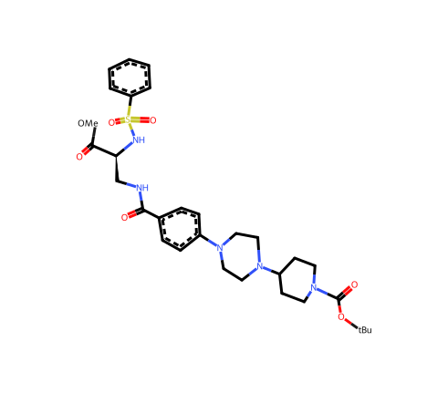 COC(=O)[C@H](CNC(=O)c1ccc(N2CCN(C3CCN(C(=O)OC(C)(C)C)CC3)CC2)cc1)NS(=O)(=O)c1ccccc1